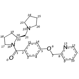 O=C(c1ccc(OCc2ccccn2)cc1)N1CCC[C@H]1CN1CCCC1